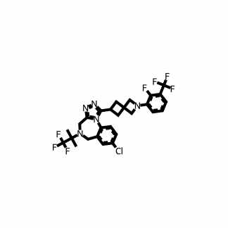 CC(C)(N1Cc2cc(Cl)ccc2-n2c(nnc2C2CC3(C2)CN(c2cccc(C(F)(F)F)c2F)C3)C1)C(F)(F)F